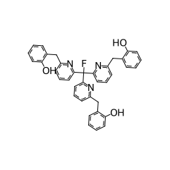 Oc1ccccc1Cc1cccc(C(F)(c2cccc(Cc3ccccc3O)n2)c2cccc(Cc3ccccc3O)n2)n1